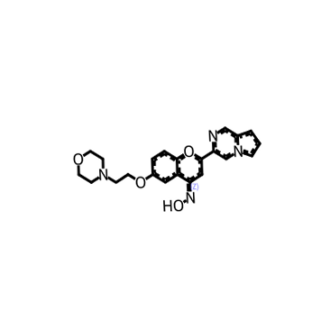 O/N=c1/cc(-c2cn3cccc3cn2)oc2ccc(OCCN3CCOCC3)cc12